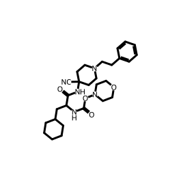 N#CC1(NC(=O)C(CC2CCCCC2)NC(=O)ON2CCOCC2)CCN(CCc2ccccc2)CC1